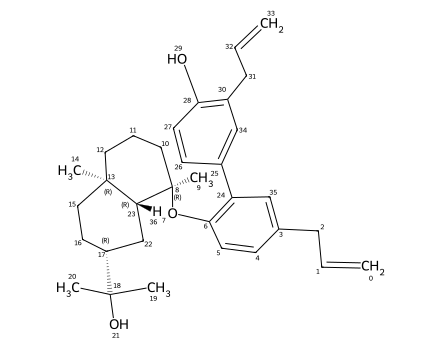 C=CCc1ccc(O[C@]2(C)CCC[C@]3(C)CC[C@@H](C(C)(C)O)C[C@H]32)c(-c2ccc(O)c(CC=C)c2)c1